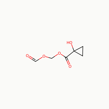 O=COCOC(=O)C1(O)CC1